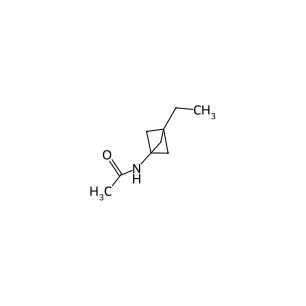 CCC12CC(NC(C)=O)(C1)C2